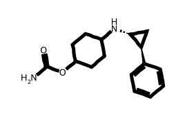 NC(=O)OC1CCC(N[C@@H]2C[C@H]2c2ccccc2)CC1